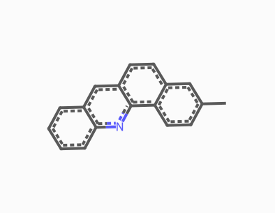 Cc1ccc2c(ccc3cc4ccccc4nc32)c1